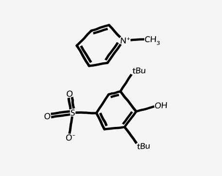 CC(C)(C)c1cc(S(=O)(=O)[O-])cc(C(C)(C)C)c1O.C[n+]1ccccc1